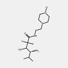 CC(C)[C@H](N)C(O)C(F)(F)C(=O)NCCN1CC[S+]([O-])CC1